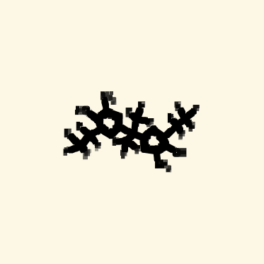 Nc1cc(C(c2cc(N)c(O)c(C(F)(F)C(F)(F)F)c2)(C(F)(F)F)C(F)(F)F)cc(C(F)(F)C(F)(F)F)c1O